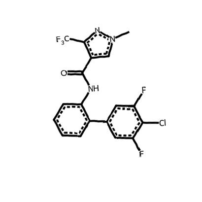 Cn1cc(C(=O)Nc2ccccc2-c2cc(F)c(Cl)c(F)c2)c(C(F)(F)F)n1